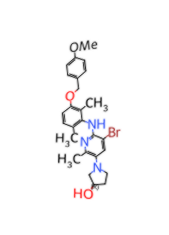 COc1ccc(COc2ccc(C)c(Nc3nc(C)c(N4CC[C@@H](O)C4)cc3Br)c2C)cc1